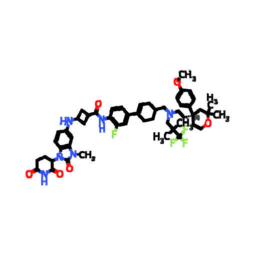 COc1ccc([C@]2(CCN(CC3CC=C(c4ccc(NC(=O)C5CC(Nc6ccc7c(c6)n(C)c(=O)n7C6CCC(=O)NC6=O)C5)c(F)c4)CC3)CC(C)(C)C(F)(F)F)CCOC(C)(C)C2)cc1